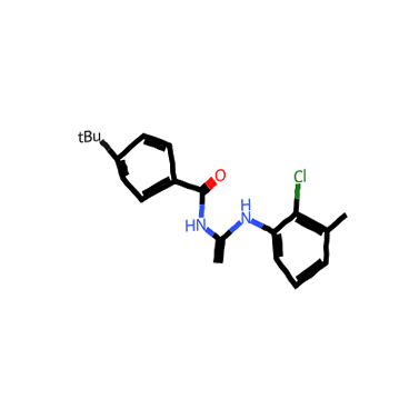 C=C(NC(=O)c1ccc(C(C)(C)C)cc1)Nc1cccc(C)c1Cl